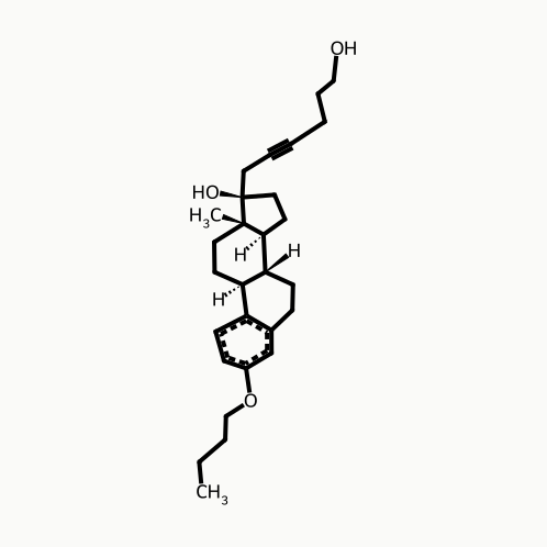 CCCCOc1ccc2c(c1)CC[C@@H]1[C@@H]2CC[C@@]2(C)[C@H]1CC[C@@]2(O)CC#CCCCO